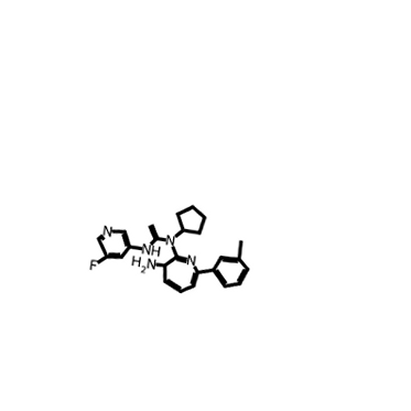 C=C(Nc1cncc(F)c1)N(C1=NC(c2cccc(C)c2)=CC=CC1N)C1CCCC1